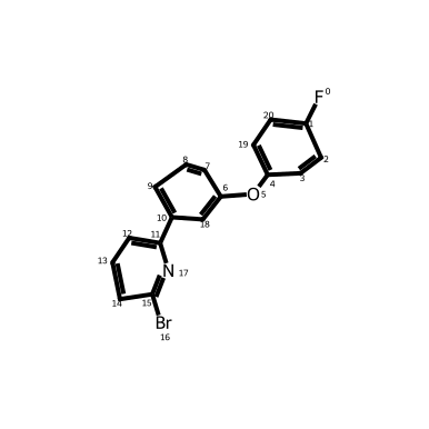 Fc1ccc(Oc2cccc(-c3cccc(Br)n3)c2)cc1